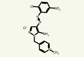 C[n+]1ccc(Cn2ncc(/N=N/c3cc([N+](=O)[O-])ccc3Cl)c2N)cc1.[Cl-]